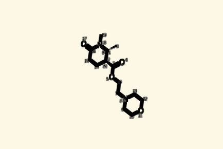 C[C@@H]1[C@@H](C(=O)OCCN2CCOCC2)CCC(=O)N1C